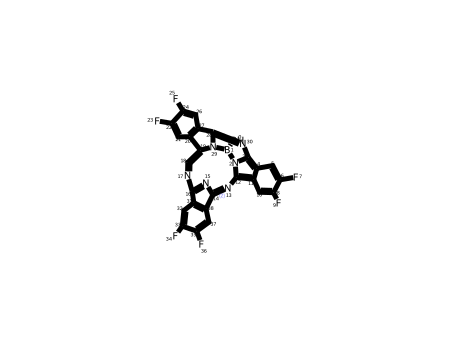 OB1n2c3c4cc(F)c(F)cc4c2/N=C2\N=C(N=C=c4c5cc(F)c(F)cc5c(n41)=N3)c1cc(F)c(F)cc12